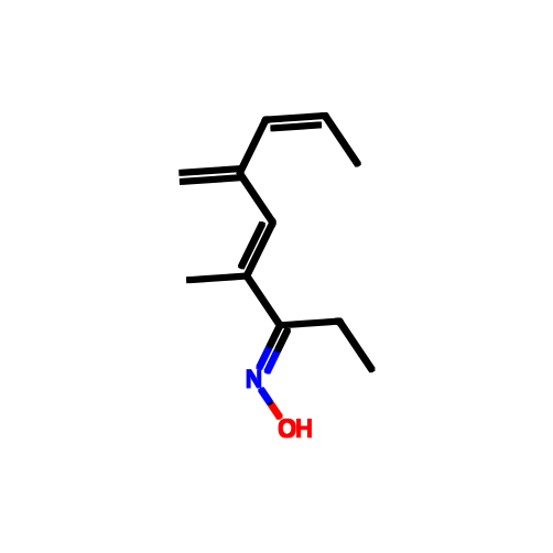 C=C(/C=C\C)/C=C(C)/C(CC)=N/O